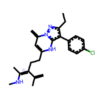 C=C(C)/C(CCC1=CC(=C)n2nc(CC)c(-c3ccc(Cl)cc3)c2N1)=C(/C)NC